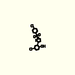 O=S(=O)(c1ccc(Cl)cc1)n1ccc(-c2cc(Cl)ccc2O)n1